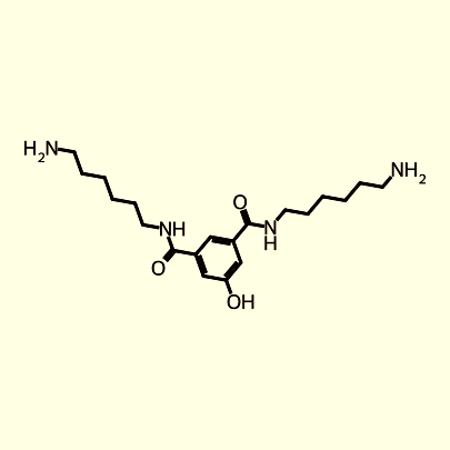 NCCCCCCNC(=O)c1cc(O)cc(C(=O)NCCCCCCN)c1